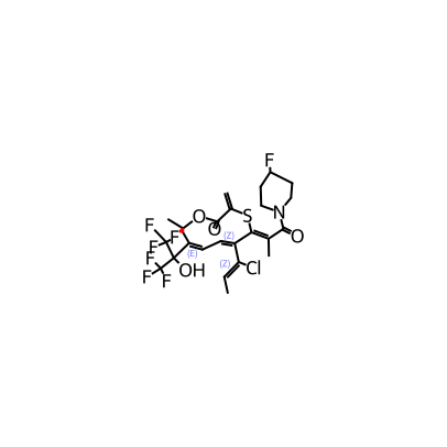 C=C(SC(=C(C)C(=O)N1CCC(F)CC1)C(=C/C=C(\C)C(O)(C(F)(F)F)C(F)(F)F)/C(Cl)=C/C)C(=O)OCC